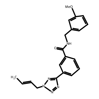 CC=CCn1nnc(-c2cccc(C(=O)NCc3cccc(OC)c3)c2)n1